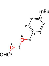 CCCCc1ccc(COCOC=O)cc1